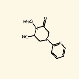 CON1C(=O)CN(c2[c]cccn2)CC1C#N